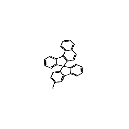 Brc1ccc2c(c1)-c1ccccc1C21c2ccccc2-c2c1ccc1ccccc21